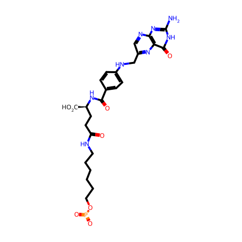 Nc1nc2ncc(CNc3ccc(C(=O)N[C@@H](CCC(=O)NCCCCCCOP(=O)=O)C(=O)O)cc3)nc2c(=O)[nH]1